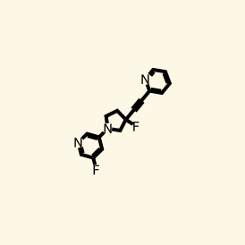 Fc1cncc(N2CCC(F)(C#Cc3ccccn3)C2)c1